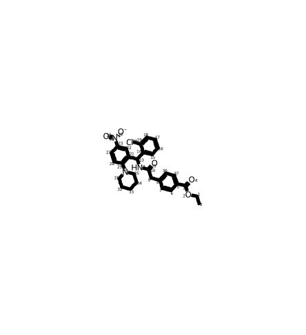 CCOC(=O)c1ccc(CC(=O)NC(c2ccccc2Cl)c2cc([N+](=O)[O-])ccc2N2CCCCC2)cc1